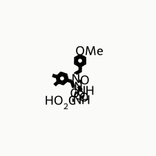 COc1ccc(CCN2C(=O)N(NS(=O)(=O)NC(=O)O)CC2c2ccc(C)c(C)c2)cc1